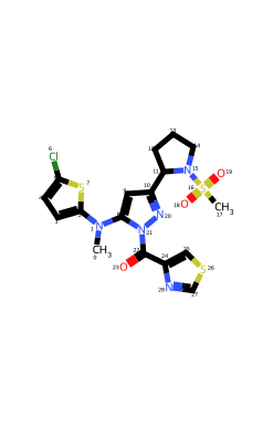 CN(c1ccc(Cl)s1)c1cc(C2CCCN2S(C)(=O)=O)nn1C(=O)c1cscn1